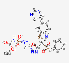 CC(C)(C)OC(=O)NS(=O)(=O)NCc1nnc(C(c2nc3ccc(-c4cncnc4)cc3s2)S(=O)(=O)Cc2ccccc2)o1